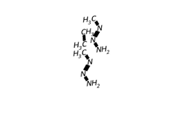 CC.CN=NN.CN=NN